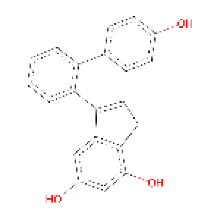 Oc1ccc(-c2ccccc2C2=CCc3c(O)cc(O)cc32)cc1